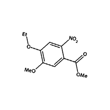 CCOc1cc([N+](=O)[O-])c(C(=O)OC)cc1OC